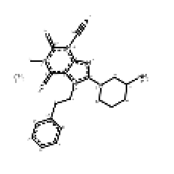 C.Cn1c(=O)c2c(nc(N3CCCC(N)C3)n2CCc2ccccc2)n(C#N)c1=O